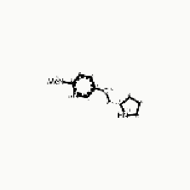 CNc1ccc(OC[C@@H]2CCCN2)cn1